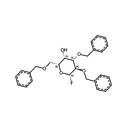 O[C@@H]1[C@H](OCc2ccccc2)[C@@H](OCc2ccccc2)[C@H](F)O[C@@H]1COCc1ccccc1